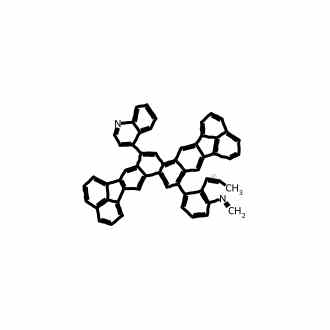 C=Nc1cccc(-c2cc3c4cc5c(cc4c(-c4ccnc6ccccc46)cc3c3cc4c(cc23)-c2cccc3cccc-4c23)-c2cccc3cccc-5c23)c1/C=C\C